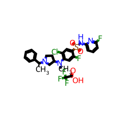 C[C@@H](c1ccccc1)N1CCC(N(C)c2cc(F)c(S(=O)(=O)Nc3cccc(F)n3)cc2Cl)C1.O=C(O)C(F)(F)F